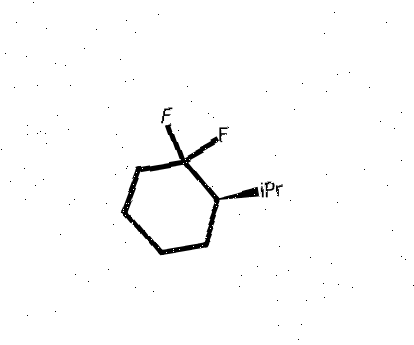 CC(C)[C@H]1CCCCC1(F)F